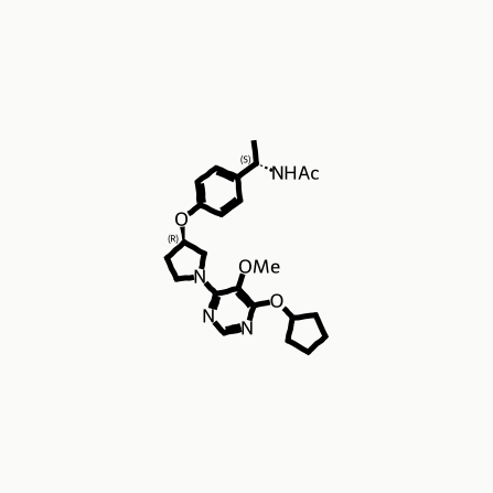 COc1c(OC2CCCC2)ncnc1N1CC[C@@H](Oc2ccc([C@H](C)NC(C)=O)cc2)C1